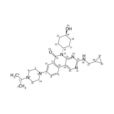 CC(C)N1CCN(c2ccc3c(c2)c(=O)n([C@H]2CC[C@H](O)CC2)c2nc(NCC4CC4)ncc32)CC1